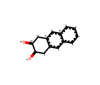 O=C1[C]c2cc3ccccc3cc2CC1=O